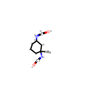 CCCCC1(N=C=O)CCCC(N=C=O)C1